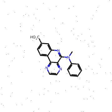 CN(c1ccccc1)c1nc2cc(C(=O)O)ccc2c2nccnc12